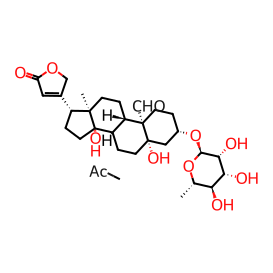 CC(C)=O.C[C@@H]1O[C@@H](O[C@H]2CC[C@]3(C=O)[C@H]4CC[C@]5(C)[C@@H](C6=CC(=O)OC6)CC[C@]5(O)[C@@H]4CC[C@]3(O)C2)[C@H](O)[C@H](O)[C@H]1O